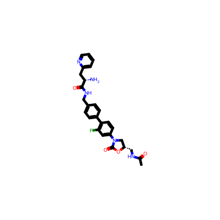 CC(=O)NC[C@H]1CN(c2ccc(-c3ccc(CNC(=O)[C@@H](N)Cc4ccccn4)cc3)c(F)c2)C(=O)O1